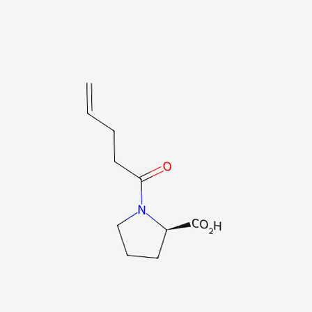 C=CCCC(=O)N1CCC[C@@H]1C(=O)O